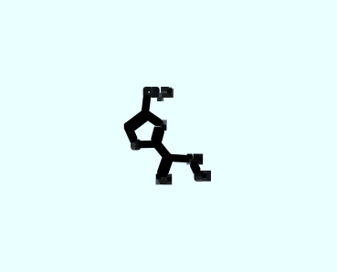 CCOC(=O)c1coc(C(=N)NO)n1